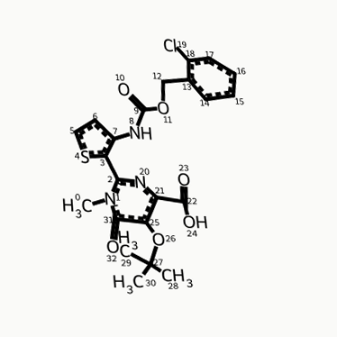 Cn1c(-c2sccc2NC(=O)OCc2ccccc2Cl)nc(C(=O)O)c(OC(C)(C)C)c1=O